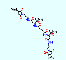 CSC1CC(=O)N(CCCNC(=O)CC(NC(=O)CCCC(=O)NC(CC(=O)NCCCN2C(=O)CC(SC)C2=O)C(=O)NC(C)=O)C(=O)NC(C)=O)C1=O